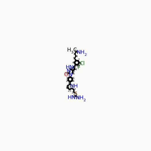 C[C@H](N)CCCc1cc(Cl)c(F)c(-c2cc3cn(-c4ccc(C5CCCC(CCSC(=N)N)N5)cc4)c(=O)nc3[nH]2)c1